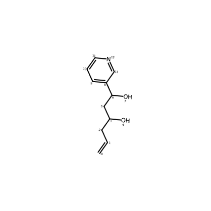 C=CCC(O)CC(O)c1cccnc1